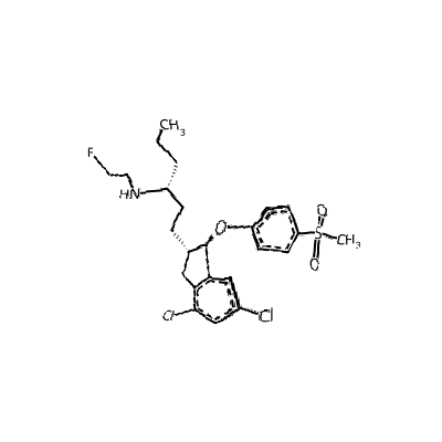 CCC[C@H](CC[C@H]1Cc2c(Cl)cc(Cl)cc2[C@@H]1Oc1ccc(S(C)(=O)=O)cc1)NCCF